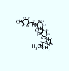 CN(C)Cc1nccn1-c1ccc(N2CCCN(/N=C/c3ccc(Cl)cc3)C2=O)c(F)c1